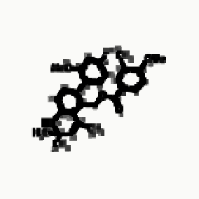 COc1ccc(C(=O)OCc2c(-c3ccc(F)cc3OC)ccc3c2C(C)=CC(C)(C)N3)cc1C